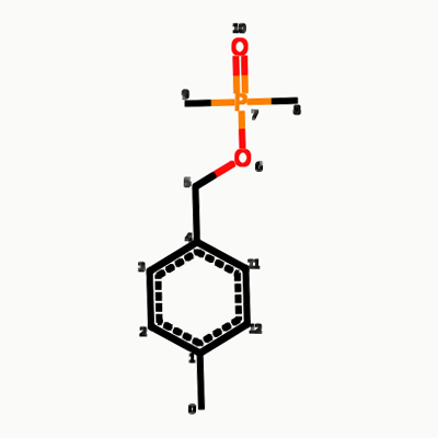 Cc1ccc(COP(C)(C)=O)cc1